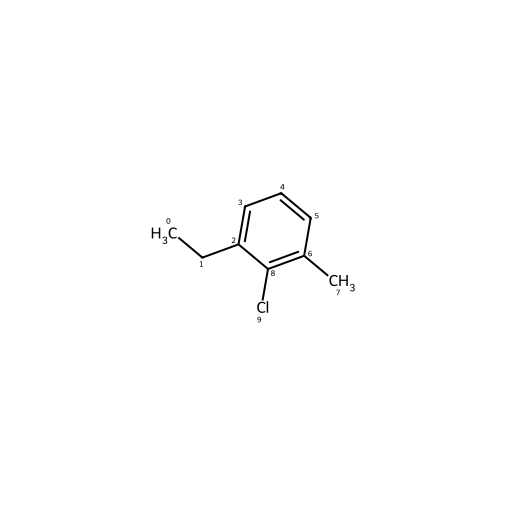 CCc1cccc(C)c1Cl